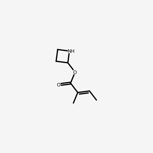 CC=C(C)C(=O)OC1CCN1